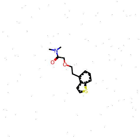 CN(C)C(=O)COCCc1cccc2sccc12